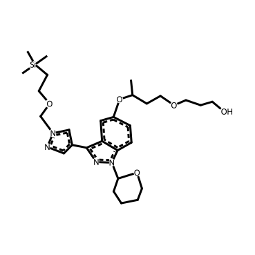 CC(CCOCCCO)Oc1ccc2c(c1)c(-c1cnn(COCC[Si](C)(C)C)c1)nn2C1CCCCO1